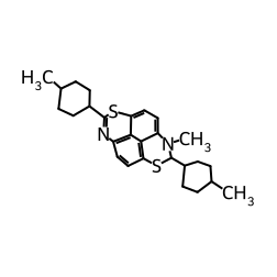 CC1CCC(C2=Nc3ccc4c5c(ccc(c35)S2)N(C)C(C2CCC(C)CC2)S4)CC1